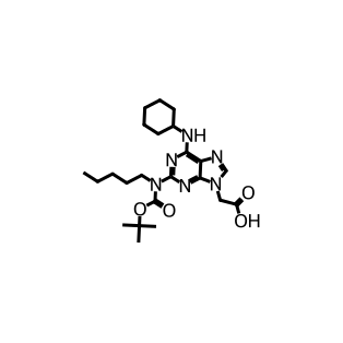 CCCCCN(C(=O)OC(C)(C)C)c1nc(NC2CCCCC2)c2ncn(CC(=O)O)c2n1